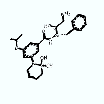 CC(C)Oc1cc(C(=O)N[C@@H](Cc2ccccc2)[C@@H](O)CN)cc(N2CCCCS2(O)O)c1